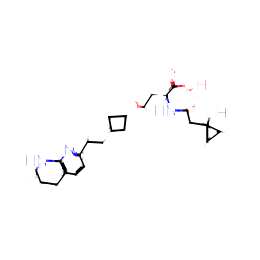 CC1(CC(=O)N[C@@H](CCO[C@H]2C[C@H](CCc3ccc4c(n3)NCCC4)C2)C(=O)O)CC1